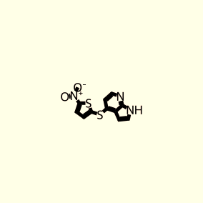 O=[N+]([O-])c1ccc(Sc2ccnc3[nH]ccc23)s1